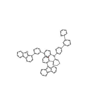 C1=C(c2ccccc2-n2c3ccccc3c3ccccc32)C(N(c2ccc(-c3cccc(-c4ccccc4)c3)cc2)c2ccc(-c3cccc(-c4cccc5c4oc4ccccc45)c3)cc2)=CCC1